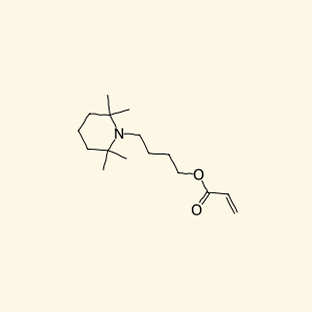 C=CC(=O)OCCCCN1C(C)(C)CCCC1(C)C